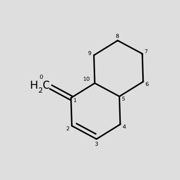 C=C1C=CCC2CCCCC12